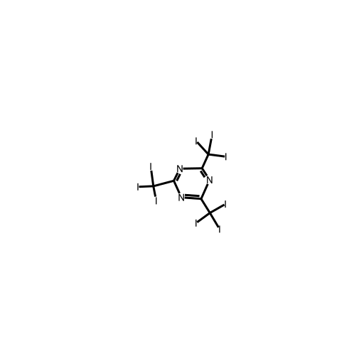 IC(I)(I)c1nc(C(I)(I)I)nc(C(I)(I)I)n1